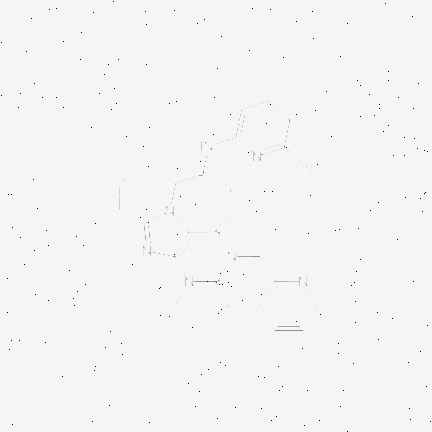 Cn1c(=O)n(Cc2ccccn2)c(=O)c2c1nc(CO)n2CC(=O)Nc1cccc(Br)n1